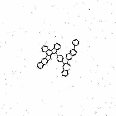 C1=CC(n2c3ccccc3c3c4ccccc4c4c5cc6ccccc6cc5sc4c32)CC=C1C1=Nc2ccccc2CC=C1c1ccc2cc(-c3ccccc3)ccc2c1